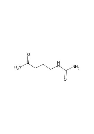 NC(=O)CCCNC(N)=O